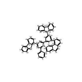 c1ccc(-c2nc(-c3cc(-c4cccc5ccc6ccccc6c45)cc(-n4c5ccccc5c5ccccc54)c3)nc(-c3cccc4c3oc3ccccc34)n2)cc1